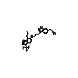 CCCc1c(OCCCn2nnc3cc(CC#N)ccc32)ccc2c(C(F)(F)F)noc12